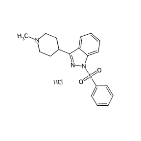 CN1CCC(c2nn(S(=O)(=O)c3ccccc3)c3ccccc23)CC1.Cl